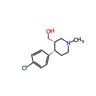 CN1CC[C@H](c2ccc(Cl)cc2)[C@H](CO)C1